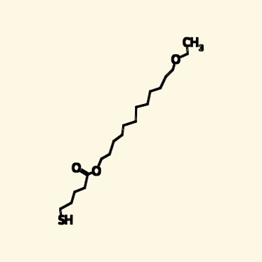 CCOCCCCCCCCCCCCOC(=O)CCCCS